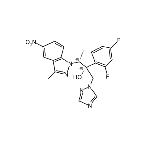 Cc1nn([C@H](C)[C@](O)(Cn2cncn2)c2ccc(F)cc2F)c2ccc([N+](=O)[O-])cc12